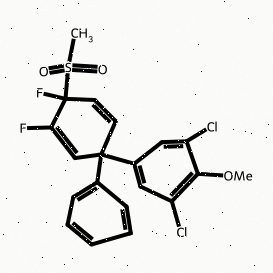 COc1c(Cl)cc(C2(c3ccccc3)C=CC(F)(S(C)(=O)=O)C(F)=C2)cc1Cl